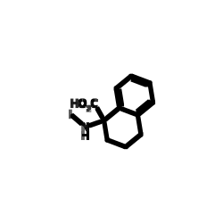 O=C(O)C1(NI)CCCc2ccccc21